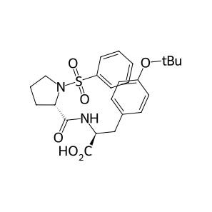 CC(C)(C)Oc1ccc(C[C@H](NC(=O)[C@@H]2CCCN2S(=O)(=O)c2ccccc2)C(=O)O)cc1